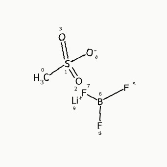 CS(=O)(=O)[O-].FB(F)F.[Li+]